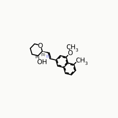 COc1cc(/C=C/[C@@H]2OCCC[C@H]2O)cc2cccc(C)c12